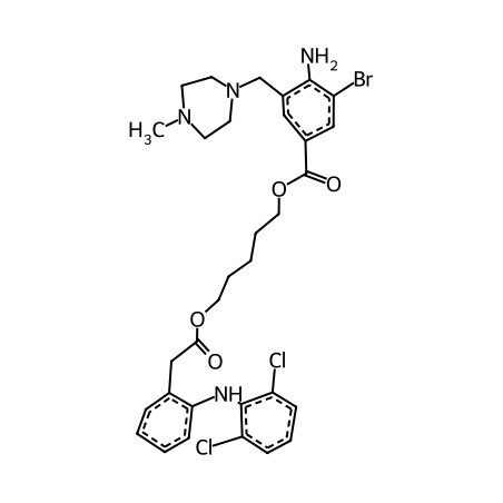 CN1CCN(Cc2cc(C(=O)OCCCCCOC(=O)Cc3ccccc3Nc3c(Cl)cccc3Cl)cc(Br)c2N)CC1